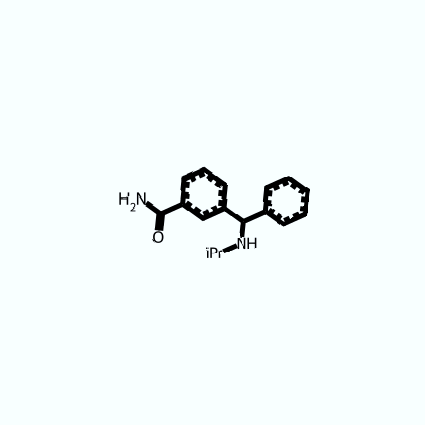 CC(C)NC(c1ccccc1)c1cccc(C(N)=O)c1